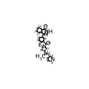 CN(Cc1cccnc1)[C@@H]1CCN(C(=O)c2cc(-c3n[nH]c(=O)c4ccccc34)ccc2F)C1